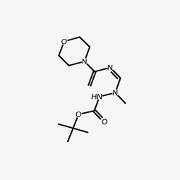 C=C(/N=C\N(C)NC(=O)OC(C)(C)C)N1CCOCC1